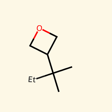 CCC(C)(C)C1COC1